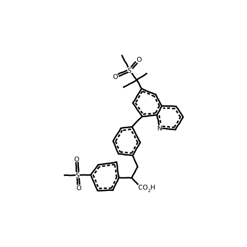 CC(C)(c1cc(-c2cccc(CC(C(=O)O)c3ccc(S(C)(=O)=O)cc3)c2)c2ncccc2c1)S(C)(=O)=O